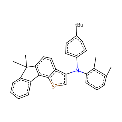 Cc1cccc(N(c2ccc(C(C)(C)C)cc2)c2csc3c4c(ccc23)C(C)(C)c2ccccc2-4)c1C